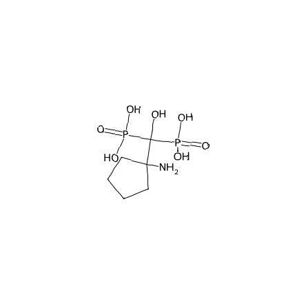 NC1(C(O)(P(=O)(O)O)P(=O)(O)O)CCCC1